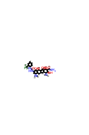 Cc1ccc(NC(=O)Nc2cc(N(C)C)c3c(c2O)C(=O)C2=C(O)C4(O)C(=O)C(C(N)=O)=C(O)C(N(C)C)C4CC2C3)c(C(F)(F)F)c1